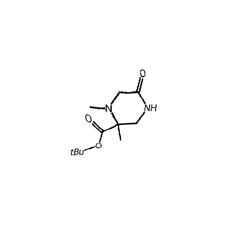 CN1CC(=O)NCC1(C)C(=O)OC(C)(C)C